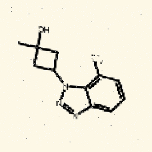 CC1(O)CC(n2nnc3cccc(C(F)(F)F)c32)C1